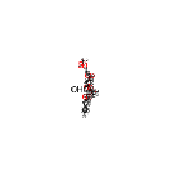 C=C(C)C(=O)OCCCCOC(=O)C1CCC(C(=O)Oc2c(C=O)cc(OC(=O)C3CCC(C4CCC(C)CC4)CC3)c3ccccc23)CC1